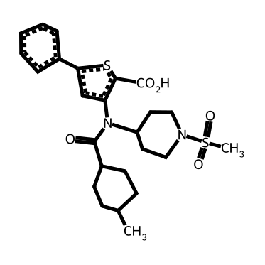 CC1CCC(C(=O)N(c2cc(-c3ccccc3)sc2C(=O)O)C2CCN(S(C)(=O)=O)CC2)CC1